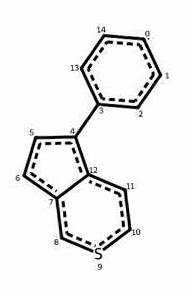 [c]1ccc(-c2ccc3csccc2-3)cc1